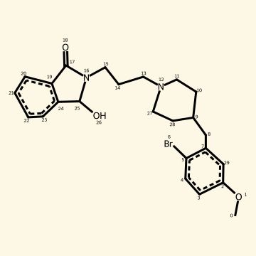 COc1ccc(Br)c(CC2CCN(CCCN3C(=O)c4ccccc4C3O)CC2)c1